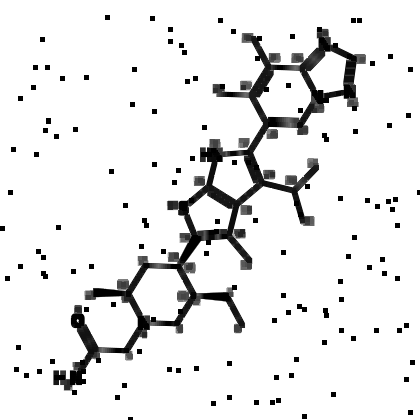 CC[C@H]1CN(CC(N)=O)[C@@H](C)C[C@H]1c1sc2[nH]c(-c3cn4ncnc4c(C)c3C)c(C(C)C)c2c1C